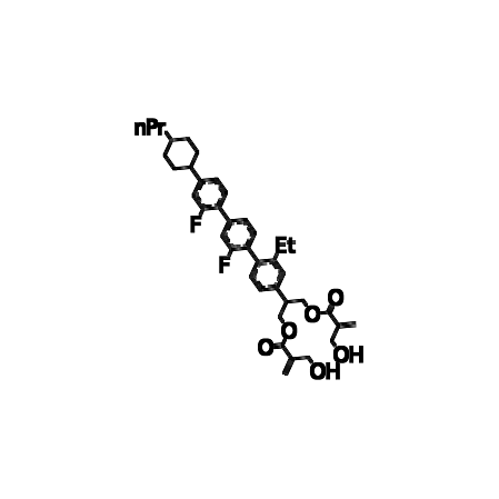 C=C(CO)C(=O)OCC(COC(=O)C(=C)CO)c1ccc(-c2ccc(-c3ccc(C4CCC(CCC)CC4)cc3F)cc2F)c(CC)c1